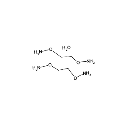 NOCCON.NOCCON.O